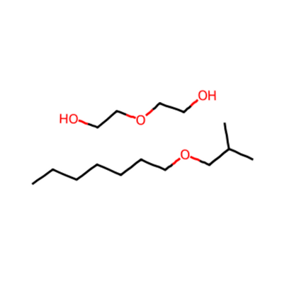 CCCCCCCOCC(C)C.OCCOCCO